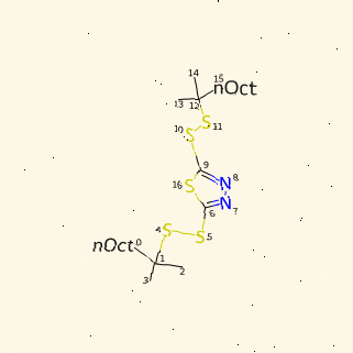 CCCCCCCCC(C)(C)SSc1nnc(SSC(C)(C)CCCCCCCC)s1